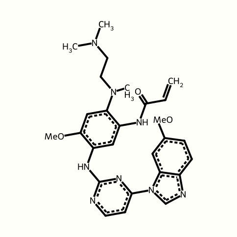 C=CC(=O)Nc1cc(Nc2nccc(-n3cnc4ccc(OC)cc43)n2)c(OC)cc1N(C)CCN(C)C